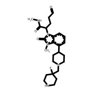 CNC(=O)C(CCC=O)n1c(=O)n(C)c2c(C3CCN(CC4(F)CCNCC4)CC3)cccc21